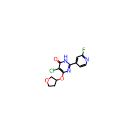 O=c1[nH]c(-c2ccnc(F)c2)nc(OC2CCOC2)c1Cl